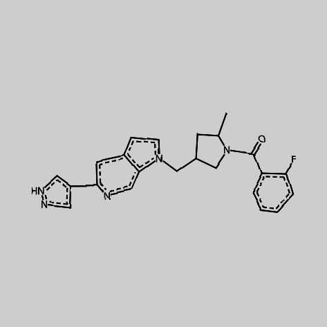 CC1CC(Cn2ccc3cc(-c4cn[nH]c4)ncc32)CN1C(=O)c1ccccc1F